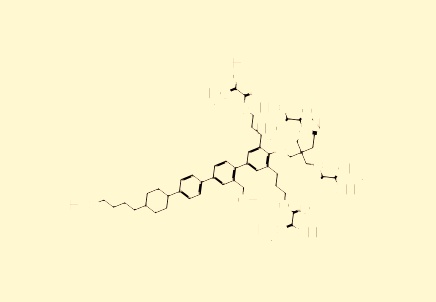 C=C(C)C(=O)OCCCc1cc(-c2ccc(-c3ccc(C4CCC(CCCCC)CC4)cc3)cc2CC)cc(CCCOC(=O)C(=C)C)c1OCC(CC#N)(COC(=O)C(=C)C)COC(=O)C(=C)C